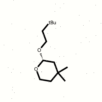 CC(C)(C)CCO[C@@H]1CC(C)(C)CCO1